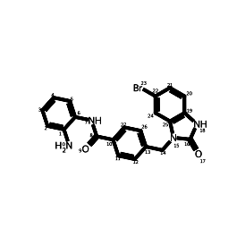 Nc1ccccc1NC(=O)c1ccc(Cn2c(=O)[nH]c3ccc(Br)cc32)cc1